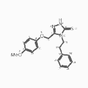 COc1ccc(OCc2n[nH]c(=S)n2CCc2ccccc2)cc1